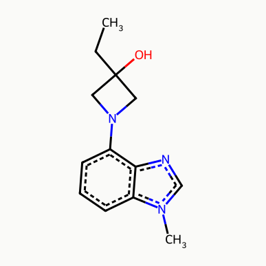 CCC1(O)CN(c2cccc3c2ncn3C)C1